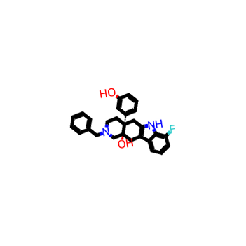 Oc1cccc([C@@]23CCN(Cc4ccccc4)C[C@@]2(O)Cc2c([nH]c4c(F)cccc24)C3)c1